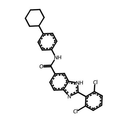 O=C(Nc1ccc(C2CCCCC2)cc1)c1ccc2nc(-c3c(Cl)cccc3Cl)[nH]c2c1